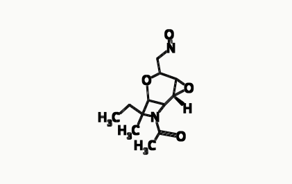 CCC1(C)C2OC(CN=O)C3O[C@@H]3C2N1C(C)=O